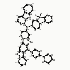 CC1(C)c2ccccc2-c2ccc(N(c3ccc4c(c3)oc3c(-c5ccc(-c6ccccc6)cc5)c5c(cc34)oc3ccccc35)c3cccc4c3oc3ccccc34)cc21